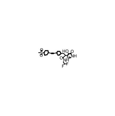 CS(=O)(=O)c1ccc(C#Cc2ccc(CC(C(=O)NCC(F)F)c3nc[nH]c(=O)c3O)cc2)cc1